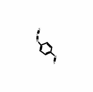 S=C=Nc1ccc(N=S)cc1